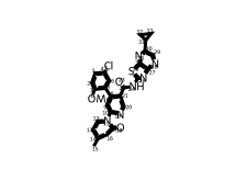 COc1ccc(Cl)cc1-c1cc(-n2ccc(C)cc2=O)ncc1C(=O)Nc1nc2ncc(C3CC3)nc2s1